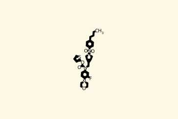 CCCCc1ccc(S(=O)(=O)N2CC3C(CN(C(=O)Oc4cccs4)c4ccc(N5CCOCC5)c(F)c4)C3C2)cc1